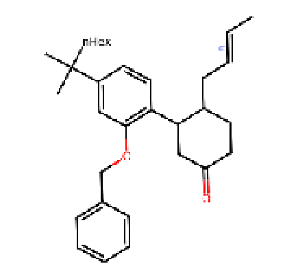 C/C=C/CC1CCC(=O)CC1c1ccc(C(C)(C)CCCCCC)cc1OCc1ccccc1